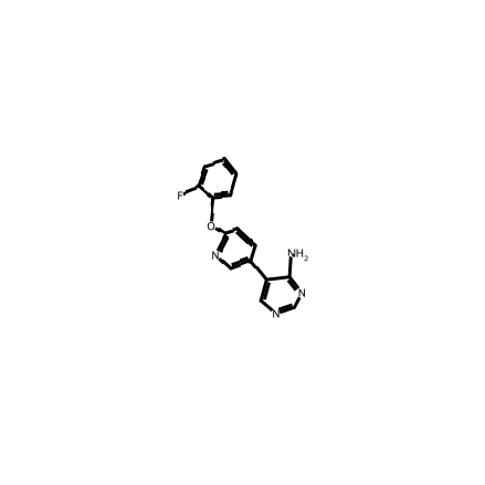 Nc1ncncc1-c1ccc(Oc2ccccc2F)nc1